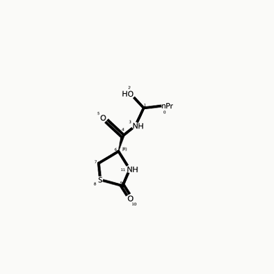 CCCC(O)NC(=O)[C@@H]1CSC(=O)N1